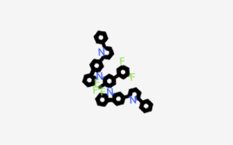 Fc1cc(F)cc(-c2cc(-n3c4ccccc4c4ccc(-c5cccc(-c6ccccc6)n5)cc43)c(C(F)(F)F)c(-n3c4ccccc4c4ccc(-c5cccc(-c6ccccc6)n5)cc43)c2)c1